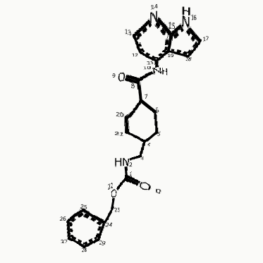 O=C(NCC1CCC(C(=O)Nc2ccnc3[nH]ccc23)CC1)OCc1ccccc1